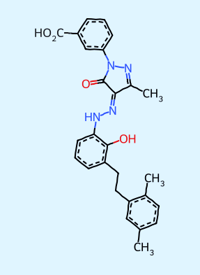 CC1=NN(c2cccc(C(=O)O)c2)C(=O)/C1=N\Nc1cccc(CCc2cc(C)ccc2C)c1O